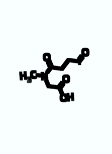 CN(CC(=O)O)C(=O)CC[C]=O